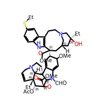 CCSc1ccc2[nH]c3c(c2c1)CCN1C[C@H](C[C@@](O)(CC)C1)C[C@]3(C(=O)OC)C1C=C2C(=CC1OC)N(C=O)[C@@]13O[C@]1(C(=O)OC)[C@H](OC(C)=O)[C@]1(CC)C=CCN4CC[C@]23[C@@H]41